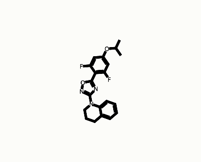 CC(C)Oc1cc(F)c(-c2nc(N3CCCc4ccccc43)no2)c(F)c1